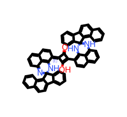 O=C1C(c2ccc3cccc4c3c2NC2(N4)c3ccccc3-c3ccc4ccccc4c32)=C(O)/C1=c1/ccc2cccc3c2c1NC1(N=3)c2ccccc2-c2ccc3ccccc3c21